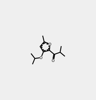 Cc1cc(OC(C)C)c(C(=O)C(C)C)o1